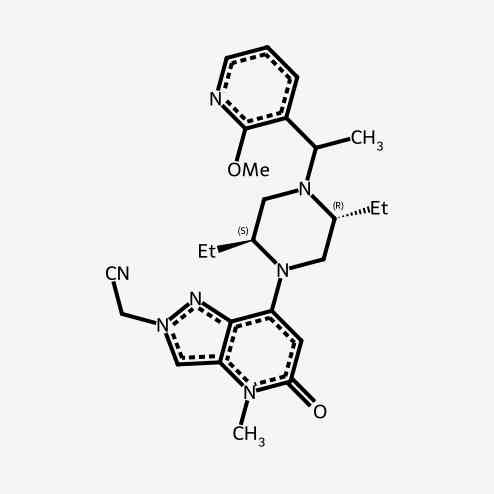 CC[C@H]1CN(C(C)c2cccnc2OC)[C@H](CC)CN1c1cc(=O)n(C)c2cn(CC#N)nc12